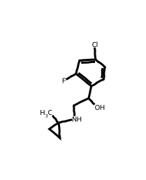 CC1(NCC(O)c2ccc(Cl)cc2F)CC1